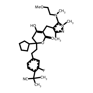 COCCN(C)c1c(CC2=C(O)CC(CCc3ccc(C(C)(C)C#N)c(F)c3)(C3CCCC3)OC2=O)c(C)nn1C